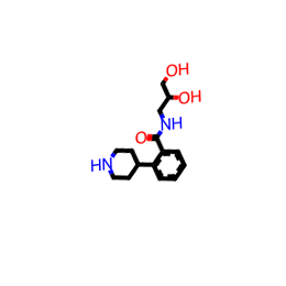 O=C(NCC(O)CO)c1ccccc1C1CCNCC1